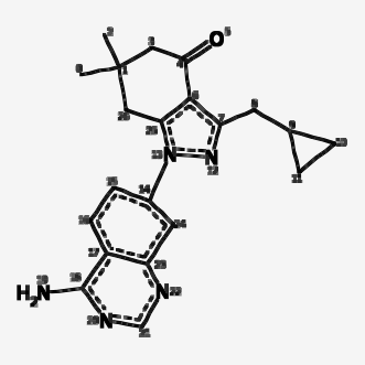 CC1(C)CC(=O)c2c(CC3CC3)nn(-c3ccc4c(N)ncnc4c3)c2C1